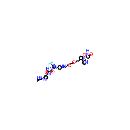 O=C1CCC(n2c3cccc(CCCOCCOCCNC[C@H]4CC[C@H](n5cc(NC(=O)c6coc(-c7ccnc(NCC8CC8)c7)n6)c(C(F)F)n5)CC4)c3c3cccnc32)C(=O)N1